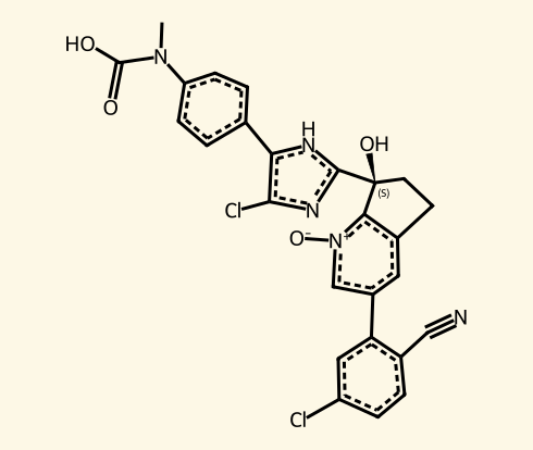 CN(C(=O)O)c1ccc(-c2[nH]c([C@]3(O)CCc4cc(-c5cc(Cl)ccc5C#N)c[n+]([O-])c43)nc2Cl)cc1